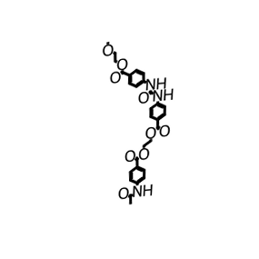 COCCOC(=O)c1ccc(NC(=O)Nc2ccc(C(=O)OCCOC(=O)c3ccc(NC(C)=O)cc3)cc2)cc1